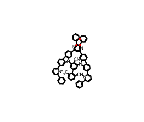 N#Cc1cccc(C(F)(F)F)c1-c1cc(-n2c3cc(-c4cccc(-c5ccccc5)n4)ccc3c3ccc(-c4cccc(-c5ccccc5)n4)cc32)c(C#N)c(-n2c3cc(-c4cccc(-c5ccccc5)n4)ccc3c3ccc(-c4cccc(-c5ccccc5)n4)cc32)c1